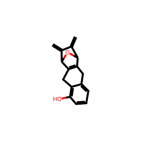 C=C1C(=C)C2OC1C1=C2Cc2c(O)cccc2C1